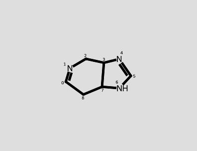 C1=NCC2N=CNC2C1